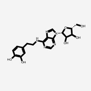 OC[C@H]1O[C@@H](n2cnc3c(NCCc4ccc(O)c(O)c4)ncnc32)C(O)C1O